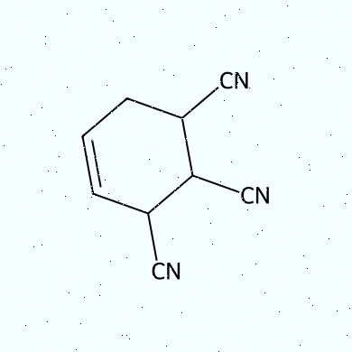 N#CC1C=CCC(C#N)C1C#N